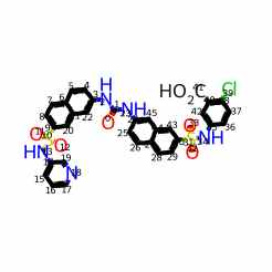 O=C(Nc1ccc2ccc(S(=O)(=O)Nc3cccnc3)cc2c1)Nc1ccc2ccc(S(=O)(=O)Nc3ccc(Cl)c(C(=O)O)c3)cc2c1